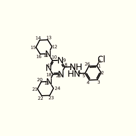 Clc1cccc(NNc2nc(N3CCCCC3)nc(N3CCCCC3)n2)c1